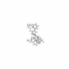 CCCCC1=NN(C(=O)NC2C(C)(C)[C@H]3CC[C@]2(C)C3)CC1c1ccccc1